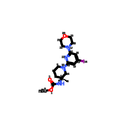 CCCCOC(=O)N[C@@]1(C)CCCN(c2cc(I)cc(N3CCOCC3)n2)C1